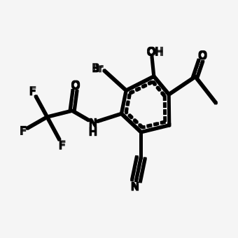 CC(=O)c1cc(C#N)c(NC(=O)C(F)(F)F)c(Br)c1O